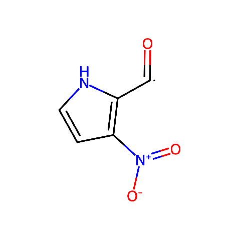 O=[C]c1[nH]ccc1[N+](=O)[O-]